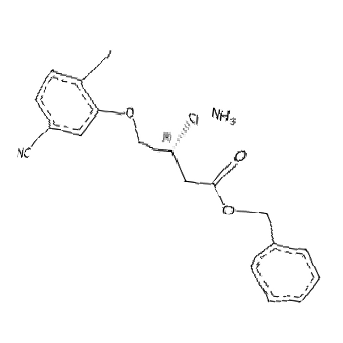 N.N#Cc1ccc(I)c(OC[C@H](Cl)CC(=O)OCc2ccccc2)c1